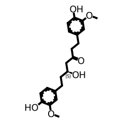 COc1cc(CCC(=O)C[C@@H](O)CCc2ccc(O)c(OC)c2)ccc1O